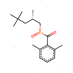 Cc1cccc(C)c1C(=O)[PH](=O)C[C@@H](C)CC(C)(C)C